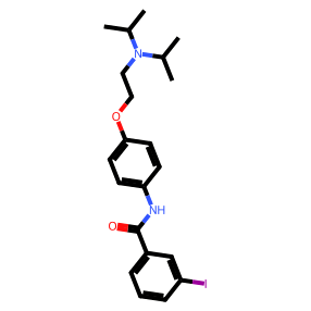 CC(C)N(CCOc1ccc(NC(=O)c2cccc(I)c2)cc1)C(C)C